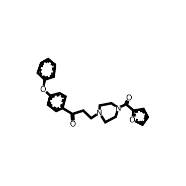 O=C(CCN1CCN(C(=O)c2ccco2)CC1)c1ccc(Oc2ccccc2)cc1